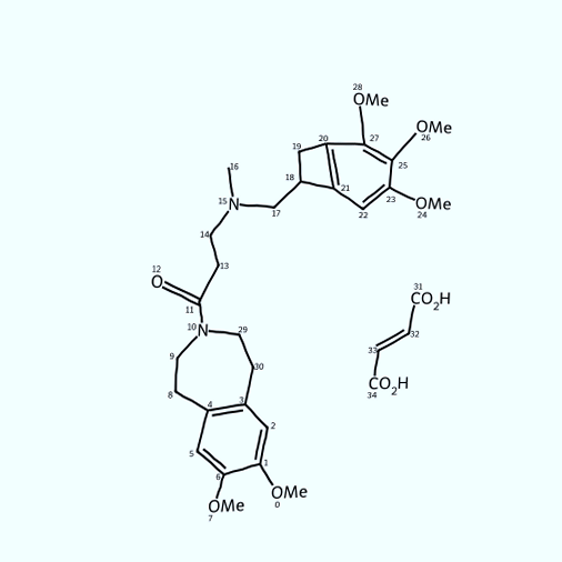 COc1cc2c(cc1OC)CCN(C(=O)CCN(C)CC1Cc3c1cc(OC)c(OC)c3OC)CC2.O=C(O)/C=C/C(=O)O